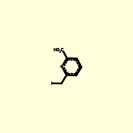 O=C(O)c1cccc(CI)n1